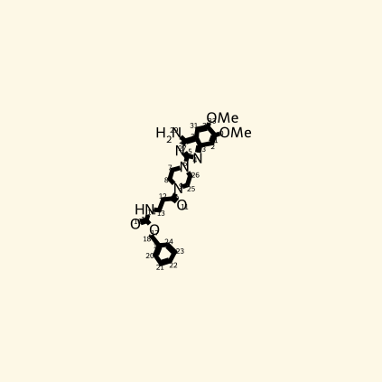 COc1cc2nc(N3CCN(C(=O)CCNC(=O)OCc4ccccc4)CC3)nc(N)c2cc1OC